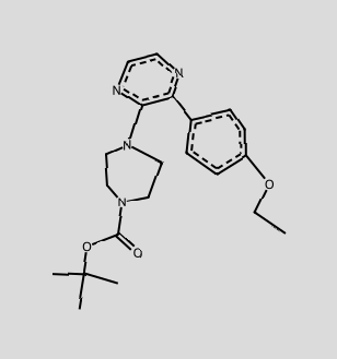 CCOc1ccc(-c2nccnc2N2CCN(C(=O)OC(C)(C)C)CC2)cc1